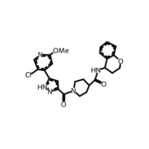 COc1cc(-c2cc(C(=O)N3CCC(C(=O)NC4CCOc5ccccc54)CC3)n[nH]2)c(Cl)cn1